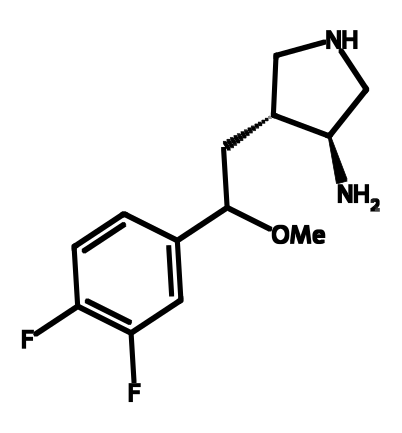 COC(C[C@@H]1CNC[C@H]1N)c1ccc(F)c(F)c1